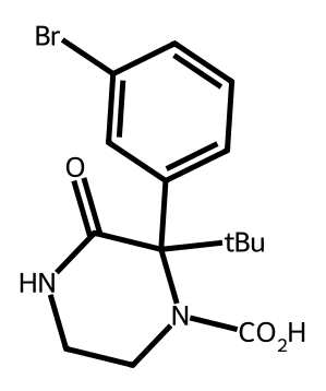 CC(C)(C)C1(c2cccc(Br)c2)C(=O)NCCN1C(=O)O